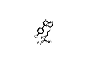 N=C(N)NCCC[C@H]1CN=C2SC=C(c3ccc(Cl)cc3)N21